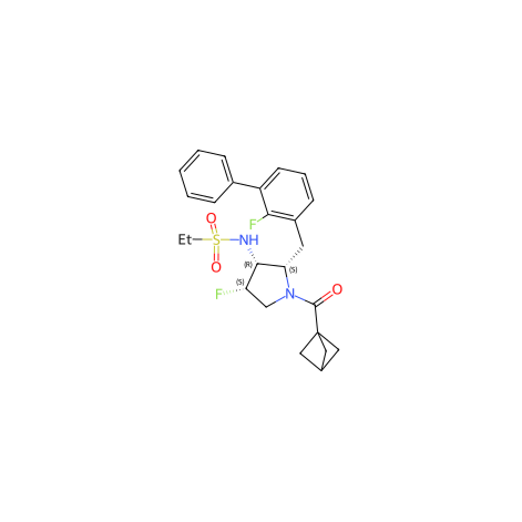 CCS(=O)(=O)N[C@H]1[C@@H](F)CN(C(=O)C23CC(C2)C3)[C@H]1Cc1cccc(-c2ccccc2)c1F